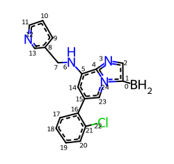 Bc1cnc2c(NCc3cccnc3)cc(-c3ccccc3Cl)cn12